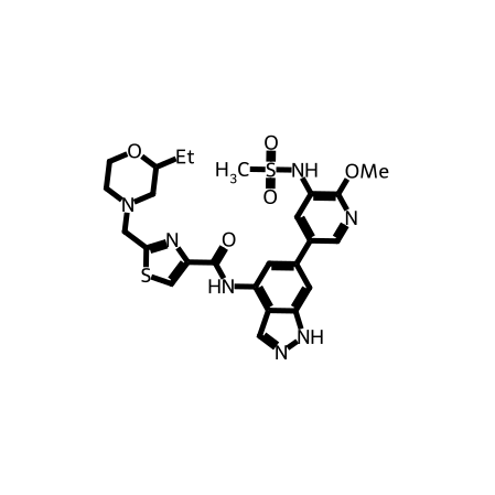 CCC1CN(Cc2nc(C(=O)Nc3cc(-c4cnc(OC)c(NS(C)(=O)=O)c4)cc4[nH]ncc34)cs2)CCO1